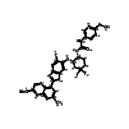 COc1cnc2c(-c3nc4cc(F)c(O[C@H]5CC(F)(F)CC[C@H]5OC(=O)Nc5cnc(CO)nc5)cc4s3)cc(C)cc2n1